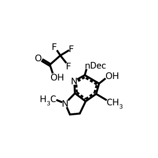 CCCCCCCCCCc1nc2c(c(C)c1O)CCN2C.O=C(O)C(F)(F)F